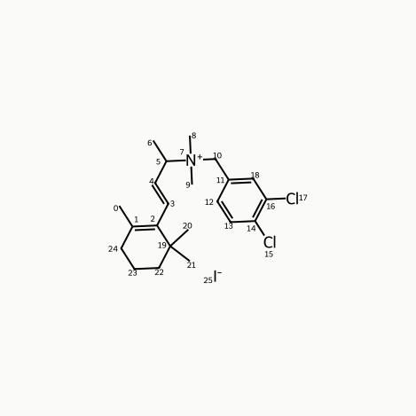 CC1=C(/C=C/C(C)[N+](C)(C)Cc2ccc(Cl)c(Cl)c2)C(C)(C)CCC1.[I-]